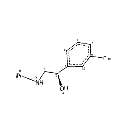 CC(C)NC[C@H](O)c1cccc(F)c1